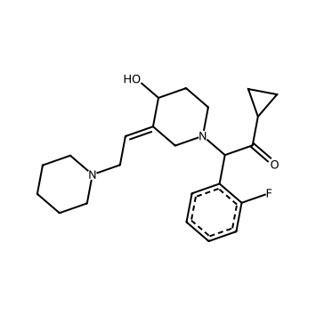 O=C(C1CC1)C(c1ccccc1F)N1CCC(O)C(=CCN2CCCCC2)C1